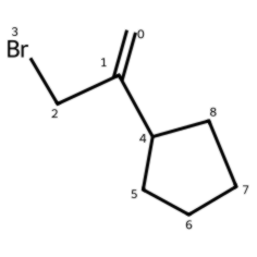 C=C(CBr)C1CCCC1